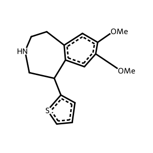 COc1cc2c(cc1OC)C(c1cccs1)CNCC2